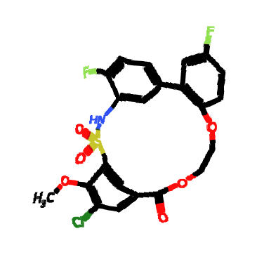 COc1c(Cl)cc2cc1S(=O)(=O)Nc1cc(ccc1F)-c1cc(F)ccc1OCCOC2=O